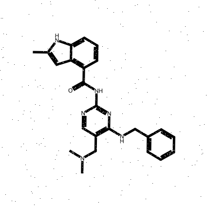 Cc1cc2c(C(=O)Nc3ncc(CN(C)C)c(NCc4ccccc4)n3)cccc2[nH]1